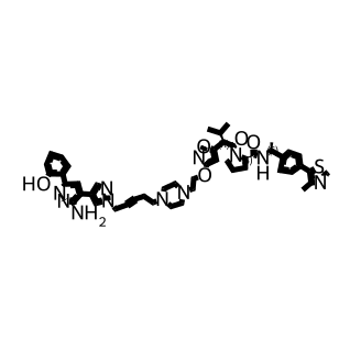 Cc1ncsc1-c1ccc([C@H](C)NC(=O)[C@@H]2CCCN2C(=O)[C@@H](c2cc(OCCN3CCN(CCC#CCn4cc(-c5cc(-c6ccccc6O)nnc5N)cn4)CC3)no2)C(C)C)cc1